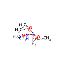 CCCCCCC(CCCC)C(=O)OCCCN(CCCOC(=O)C(CCCC)CCCCCC)C(=O)C=CC(=O)NCCOCCN(C)C